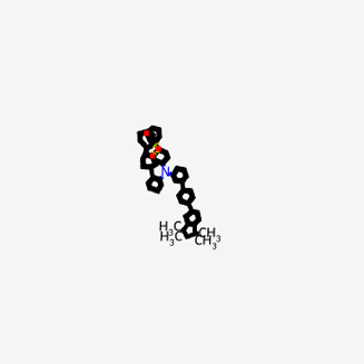 CC1(C)CC(C)(C)c2cc(-c3ccc(-c4cccc(N(c5ccc(-c6ccccc6)cc5)c5ccccc5-c5ccc6c(c5)sc5ccccc56)c4)cc3)ccc21